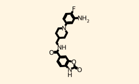 Nc1cc(N2CCC(CNC(=O)c3ccc4[nH]c(=O)oc4c3)CC2)ccc1F